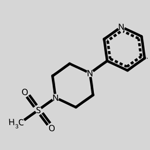 CS(=O)(=O)N1CCN(c2c[c]cnc2)CC1